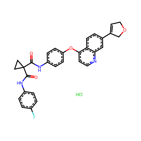 Cl.O=C(Nc1ccc(F)cc1)C1(C(=O)Nc2ccc(Oc3ccnc4cc(C5=CCOC5)ccc34)cc2)CC1